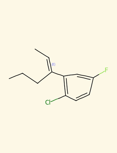 C/C=C(\CCC)c1cc(F)ccc1Cl